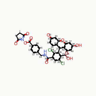 O=C(ON1C(=O)CCC1=O)c1ccc(CNC(=O)c2cc(Cl)c(C(=O)O)c(-c3c4ccc(=O)cc-4oc4cc(O)ccc34)c2Cl)cc1